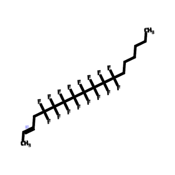 C/C=C/CC(F)(F)C(F)(F)C(F)(F)C(F)(F)C(F)(F)C(F)(F)C(F)(F)C(F)(F)CCCCCC